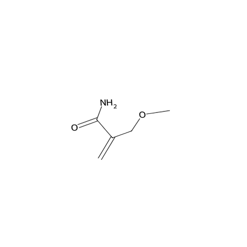 C=C(COC)C(N)=O